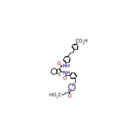 O=C(O)CCC(=O)N1CCN(Cc2cccc(C(=O)Nc3sc4c(c3C(=O)Nc3ccc(CCc5ccc(C(=O)O)cc5)cc3)CCCC4)c2)CC1